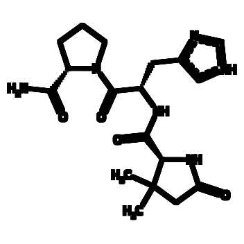 CC1(C)CC(=O)N[C@@H]1C(=O)N[C@@H](Cc1c[nH]cn1)C(=O)N1CCC[C@H]1C(N)=O